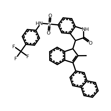 CC1=C(c2ccc3ccccc3c2)c2ccccc2C1C1C(=O)Nc2ccc(S(=O)(=O)Nc3ccc(C(F)(F)F)cc3)cc21